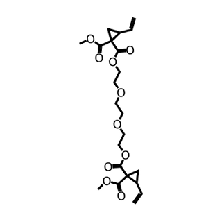 C=CC1CC1(C(=O)OC)C(=O)OCCOCCOCCOC(=O)C1(C(=O)OC)CC1C=C